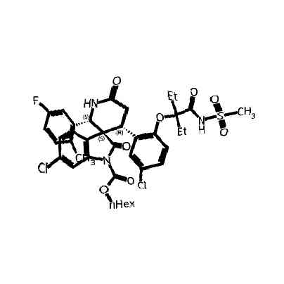 CCCCCCOC(=O)N1C(=O)[C@]2(c3ccc(Cl)cc31)[C@@H](c1cc(Cl)ccc1OC(CC)(CC)C(=O)NS(C)(=O)=O)CC(=O)N[C@H]2c1cc(F)ccc1C